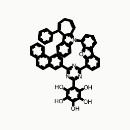 Oc1c(O)c(O)c(-c2nc(-c3ccc4c(ccc5ccccc54)c3)nc(-c3cccc4c3oc3c(-n5c6c(c7ccccc75)C(c5ccccc5)=CCC=C6)cccc34)n2)c(O)c1O